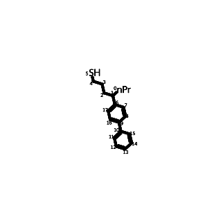 CCCC(CCCS)c1ccc(-c2ccccc2)cc1